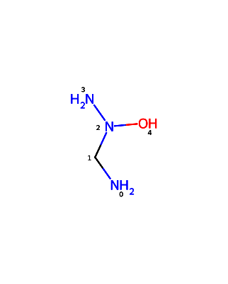 NCN(N)O